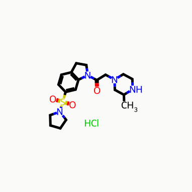 CC1CN(CC(=O)N2CCc3ccc(S(=O)(=O)N4CCCC4)cc32)CCN1.Cl